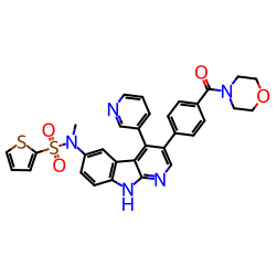 CN(c1ccc2[nH]c3ncc(-c4ccc(C(=O)N5CCOCC5)cc4)c(-c4cccnc4)c3c2c1)S(=O)(=O)c1cccs1